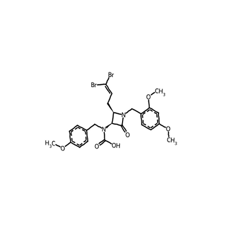 COc1ccc(CN(C(=O)O)[C@@H]2C(=O)N(Cc3ccc(OC)cc3OC)[C@@H]2CC=C(Br)Br)cc1